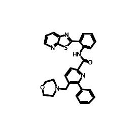 O=C(Nc1ccccc1-c1nc2cccnc2s1)c1ccc(CN2CCOCC2)c(-c2ccccc2)n1